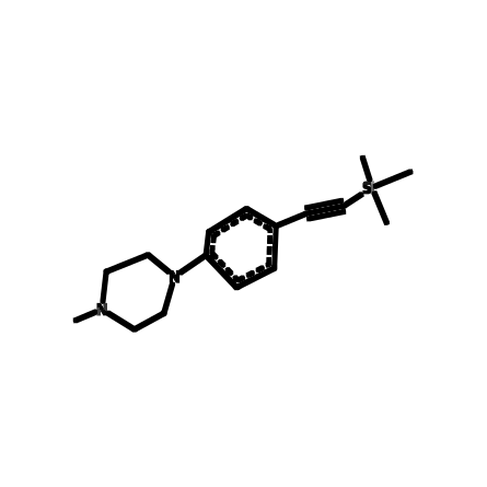 CN1CCN(c2ccc(C#C[Si](C)(C)C)cc2)CC1